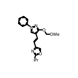 COCOc1nn(-c2ccccc2)cc1C=Cc1coc(C(C)C)n1